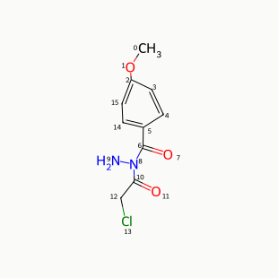 COc1ccc(C(=O)N(N)C(=O)CCl)cc1